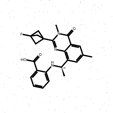 Cc1cc([C@@H](C)Nc2ccccc2C(=O)O)c2nc(C34CC(F)(C3)C4)n(C)c(=O)c2c1